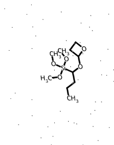 CCCC(OC1CCO1)[Si](OC)(OC)OC